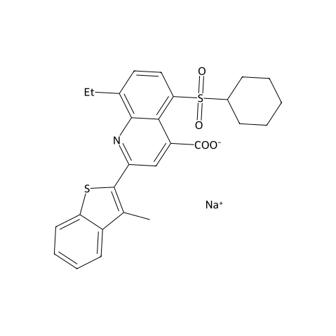 CCc1ccc(S(=O)(=O)C2CCCCC2)c2c(C(=O)[O-])cc(-c3sc4ccccc4c3C)nc12.[Na+]